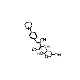 CC/C=C(NC1CC(O)COC1O)\C(C#N)=C\c1ccc(N2CCCCC2)cc1